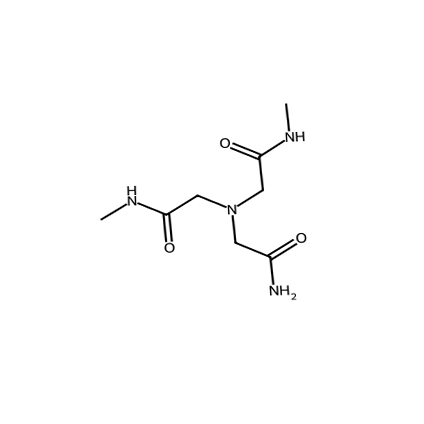 CNC(=O)CN(CC(N)=O)CC(=O)NC